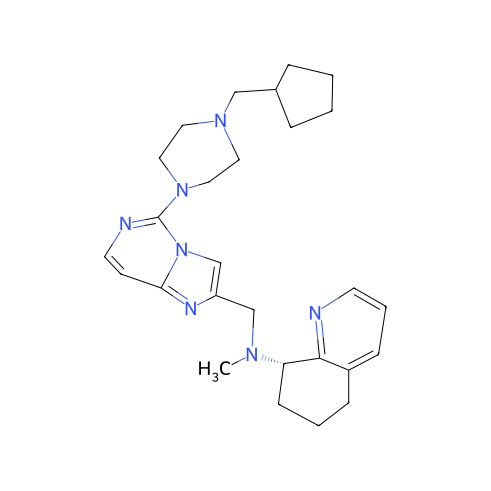 CN(Cc1cn2c(N3CCN(CC4CCCC4)CC3)nccc2n1)[C@H]1CCCc2cccnc21